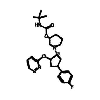 CC(C)(C)NC(=O)OC1CCCN([C@@H]2CC(c3ccc(F)cc3)CC2Oc2cccnn2)C1